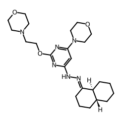 c1c(NN=C2CCC[C@H]3CCCC[C@H]23)nc(OCCN2CCOCC2)nc1N1CCOCC1